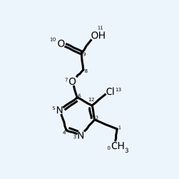 CCc1ncnc(OCC(=O)O)c1Cl